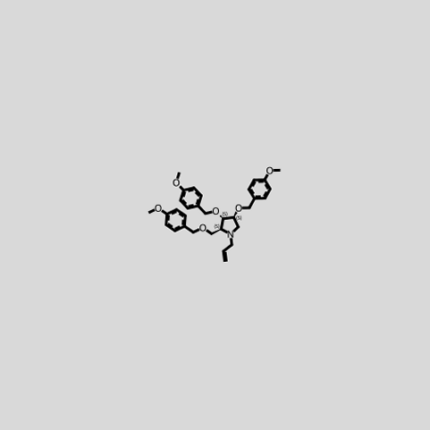 C=CCN1C[C@H](OCc2ccc(OC)cc2)[C@@H](OCc2ccc(OC)cc2)[C@@H]1COCc1ccc(OC)cc1